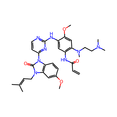 C=CC(=O)Nc1cc(Nc2nccc(-n3c(=O)n(CC=C(C)C)c4cc(OC)ccc43)n2)c(OC)cc1N(C)CCN(C)C